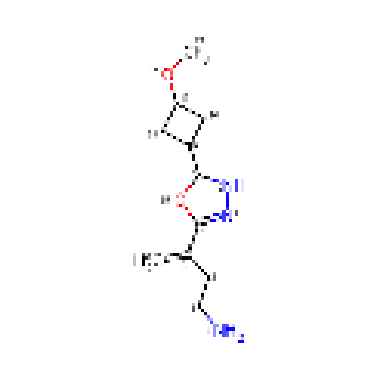 C=C(CCN)C1=NNC(C2CC(OC(F)(F)F)C2)O1